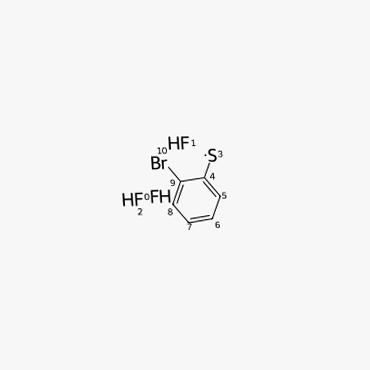 F.F.F.[S]c1ccccc1Br